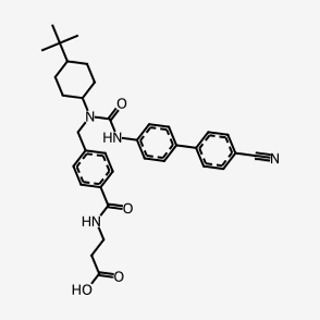 CC(C)(C)C1CCC(N(Cc2ccc(C(=O)NCCC(=O)O)cc2)C(=O)Nc2ccc(-c3ccc(C#N)cc3)cc2)CC1